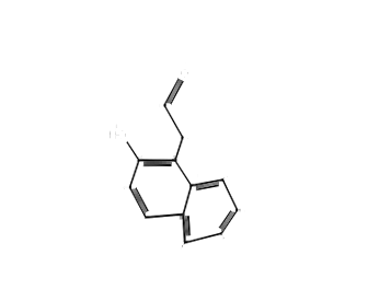 O=[C]Cc1c(O)ccc2ccccc12